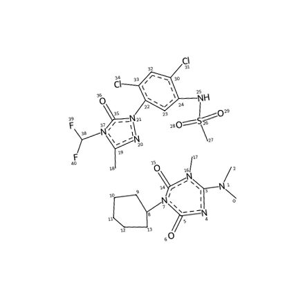 CN(C)c1nc(=O)n(C2CCCCC2)c(=O)n1C.Cc1nn(-c2cc(NS(C)(=O)=O)c(Cl)cc2Cl)c(=O)n1C(F)F